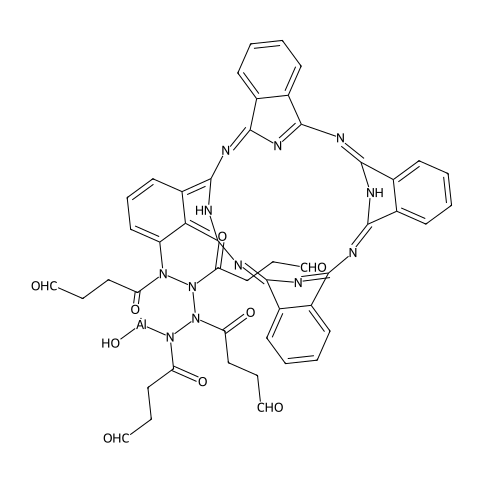 O=CCCC(=O)[N]([Al][OH])N(C(=O)CCC=O)N(C(=O)CCC=O)N(C(=O)CCC=O)c1cccc2c3nc4nc(nc5[nH]c(nc6nc(nc([nH]3)c12)-c1ccccc1-6)c1ccccc51)-c1ccccc1-4